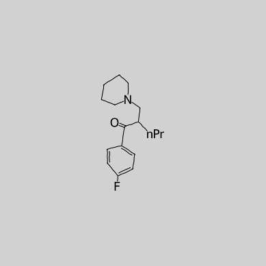 CCCC(CN1CCCCC1)C(=O)c1ccc(F)cc1